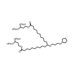 CCCCCC(CCCCC)CCOC(=O)CCCCCCCCCC(CCCCCCCCCC(=O)OCCC(CCCCC)CCCCC)OCCCCN1CCCC1